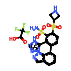 Cn1ncc2cccc(-c3ccc(S(=O)(=O)C4CNC4)c(S(N)(=O)=O)c3-c3nnn[nH]3)c21.O=C(O)C(F)(F)F